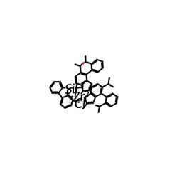 CC1=Cc2c(ccc(C(C)C)c2-c2ccccc2C(C)C)[CH]1[Zr]([Cl])([Cl])([c]1cccc2c1[SiH2]c1ccccc1-2)[CH]1C(C)=Cc2c1ccc(C(C)C)c2-c1ccccc1C(C)C